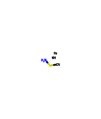 N#CSN.[Fe].[KH]